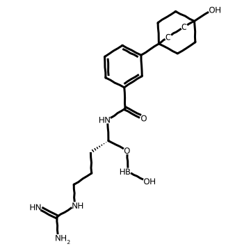 N=C(N)NCCC[C@H](NC(=O)c1cccc(C23CCC(O)(CC2)CC3)c1)OBO